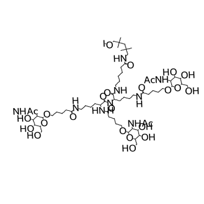 CC(=O)NC1C(OCCCCC(=O)NCCCCC(NC(=O)CCCCOC2OC(CO)C(O)C(O)C2NC(C)=O)C(=O)NC(CCCCNC(=O)CCCCOC2OC(CO)C(O)C(O)C2NC(C)=O)C(=O)NCCCCCC(=O)NCC(C)(C)CC(C)(C)COI)OC(CO)C(O)C1O